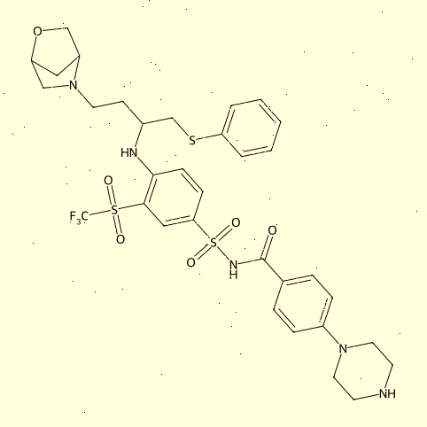 O=C(NS(=O)(=O)c1ccc(NC(CCN2CC3CC2CO3)CSc2ccccc2)c(S(=O)(=O)C(F)(F)F)c1)c1ccc(N2CCNCC2)cc1